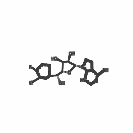 N=c1nc[nH]c2c1ccn2[C@@H]1O[C@H]([C@H](O)c2ccc(F)c(Cl)c2)[C@@H](O)[C@H]1O